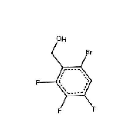 OCc1c(Br)cc(F)c(F)c1F